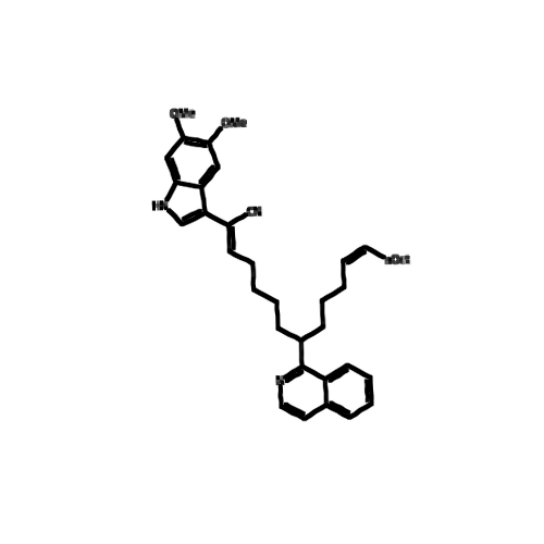 CCCCCCCC/C=C\CCCC(CCCC/C=C(\C#N)c1c[nH]c2cc(OC)c(OC)cc12)c1nccc2ccccc12